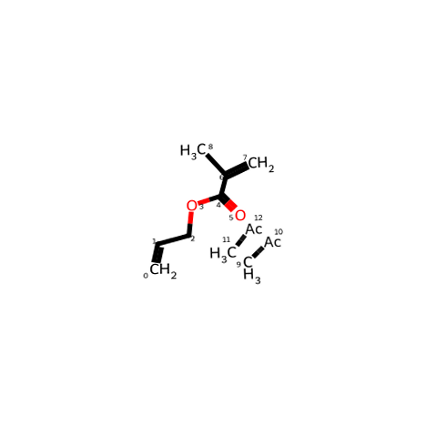 C=CCOC(=O)C(=C)C.CC(C)=O.CC(C)=O